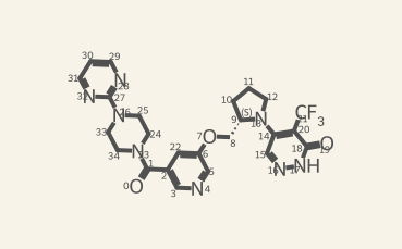 O=C(c1cncc(OC[C@@H]2CCCN2c2cn[nH]c(=O)c2C(F)(F)F)c1)N1CCN(c2ncccn2)CC1